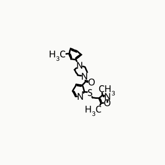 Cc1cccc(N2CCN(C(=O)c3cccnc3SCc3c(C)noc3C)CC2)c1